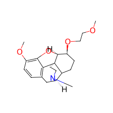 COCCO[C@H]1CCC2[C@H]3Cc4ccc(OC)c5c4[C@@]2(CCN3C)[C@H]1O5